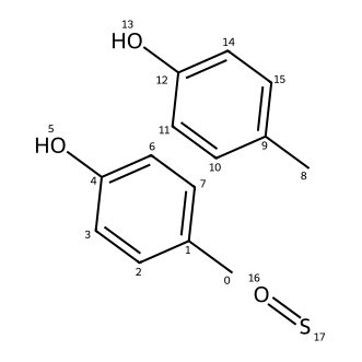 Cc1ccc(O)cc1.Cc1ccc(O)cc1.O=S